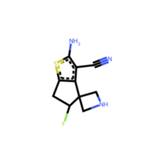 N#Cc1c(N)sc2c1C1(CNC1)C(F)C2